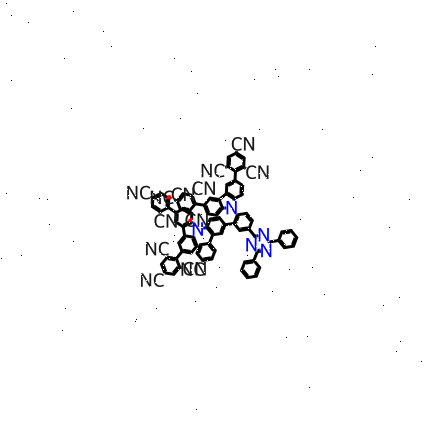 N#Cc1ccc(-c2cc(-c3cc(-c4nc(-c5ccccc5)nc(-c5ccccc5)n4)ccc3-n3c4ccc(-c5c(C#N)cc(C#N)cc5C#N)cc4c4cc(-c5c(C#N)cc(C#N)cc5C#N)ccc43)ccc2-n2c3ccc(-c4c(C#N)cc(C#N)cc4C#N)cc3c3cc(-c4c(C#N)cc(C#N)cc4C#N)ccc32)cc1